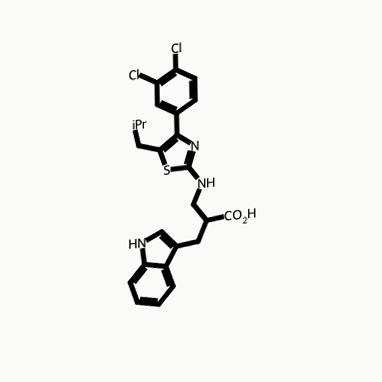 CC(C)Cc1sc(NCC(Cc2c[nH]c3ccccc23)C(=O)O)nc1-c1ccc(Cl)c(Cl)c1